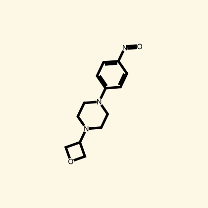 O=Nc1ccc(N2CCN(C3COC3)CC2)cc1